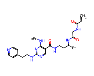 C=CC(=O)NCC(=O)NC(CC)CCNC(=O)c1cnc(NCCc2ccncc2)nc1NCCC